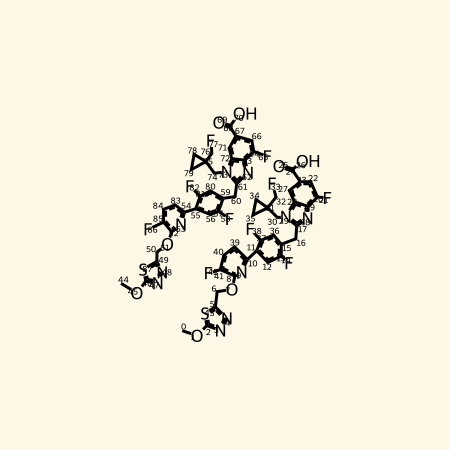 COc1nnc(COc2nc(-c3cc(F)c(Cc4nc5c(F)cc(C(=O)O)cc5n4CC4(CF)CC4)cc3F)ccc2F)s1.COc1nnc(COc2nc(-c3cc(F)c(Cc4nc5c(F)cc(C(=O)O)cc5n4CC4(CF)CC4)cc3F)ccc2F)s1